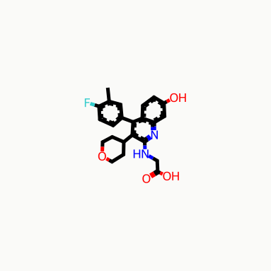 Cc1cc(-c2c(C3CCOCC3)c(NCC(=O)O)nc3cc(O)ccc23)ccc1F